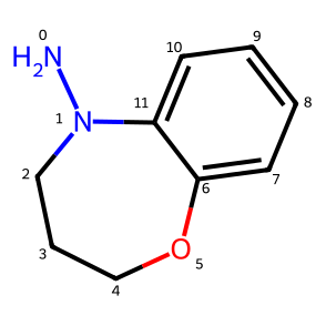 NN1CCCOc2ccccc21